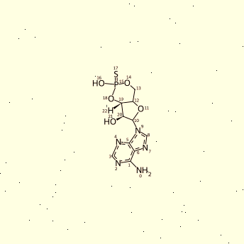 Nc1ncnc2c1ncn2C1OC2COP(O)(=S)O[C@H]2[C@@H]1O